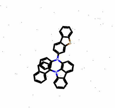 c1ccc(N(c2ccc3c(c2)sc2ccccc23)c2cccc3c4ccccc4n(-c4cccc5ccccc45)c23)cc1